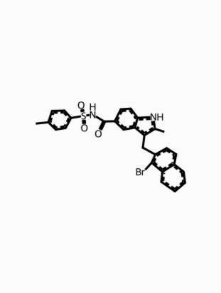 Cc1ccc(S(=O)(=O)NC(=O)c2ccc3[nH]c(C)c(Cc4ccc5ccccc5c4Br)c3c2)cc1